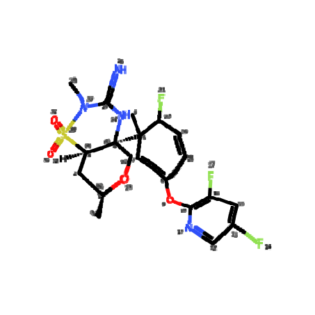 C[C@H]1C[C@@H]2[C@](C3(C)C=C(Oc4ncc(F)cc4F)C=CC3F)(CO1)NC(=N)N(C)S2(=O)=O